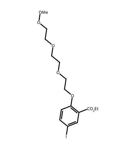 CCOC(=O)c1cc(I)ccc1OCCOCCOCCOOC